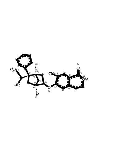 CCC(N)[C@]1(c2ccccc2)C[C@H]2C[C@@H]1CC2Oc1cc2cc[nH]c(=O)c2cc1Cl